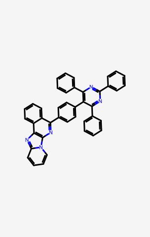 c1ccc(-c2nc(-c3ccccc3)c(-c3ccc(-c4nc5c(nc6ccccn65)c5ccccc45)cc3)c(-c3ccccc3)n2)cc1